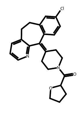 O=C(C1CCCO1)N1CCC(=C2c3ccc(Cl)cc3CCc3cccnc32)CC1